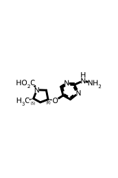 C[C@H]1C[C@@H](Oc2cnc(NN)nc2)CN1C(=O)O